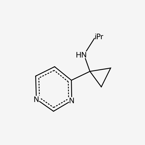 CC(C)NC1(c2ccncn2)CC1